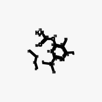 CCCC.Cc1nc(N(C)C)nc(OC(N)=O)c1C